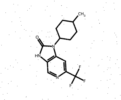 CC1CCC(n2c(=O)[nH]c3cnc(C(F)(F)F)cc32)CC1